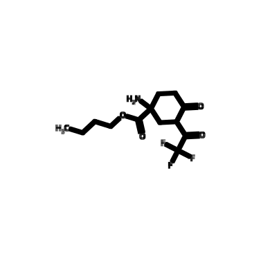 CCCCOC(=O)C1(N)CCC(=O)C(C(=O)C(F)(F)F)C1